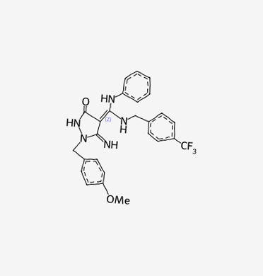 COc1ccc(CN2NC(=O)/C(=C(/NCc3ccc(C(F)(F)F)cc3)Nc3ccccc3)C2=N)cc1